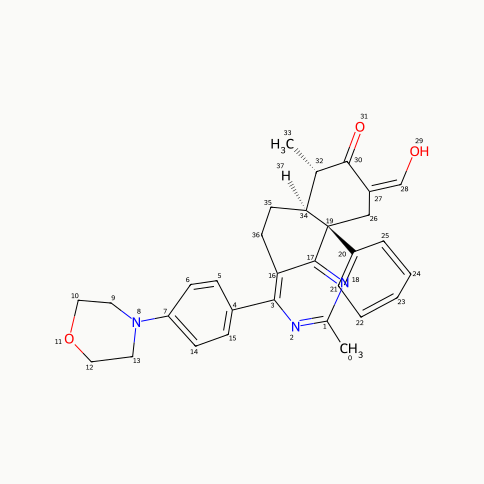 Cc1nc(-c2ccc(N3CCOCC3)cc2)c2c(n1)[C@@]1(c3ccccc3)C/C(=C/O)C(=O)[C@@H](C)[C@@H]1CC2